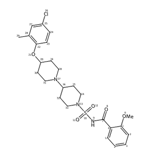 COc1ccccc1C(=O)NS(=O)(=O)N1CCC(N2CCC(Oc3ccc(Cl)cc3C)CC2)CC1